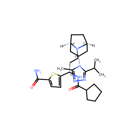 Cc1nnc(C(C)C)n1[C@@H]1C[C@H]2CC[C@@H](C1)N2CC[C@H](NC(=O)C1CCCC1)c1ccc(C(N)=O)s1